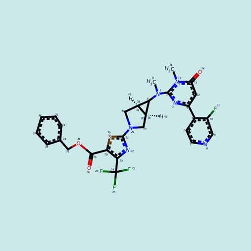 CN(c1nc(-c2ccncc2F)cc(=O)n1C)C1[C@H]2CN(c3nc(C(F)(F)F)c(C(=O)OCc4ccccc4)s3)C[C@@H]12